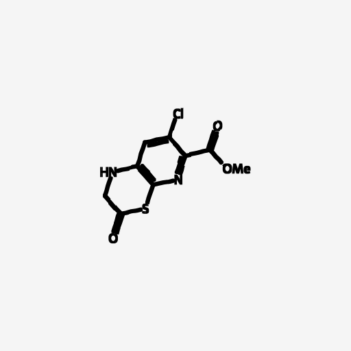 COC(=O)c1nc2c(cc1Cl)NCC(=O)S2